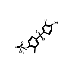 CCC(CC)(c1ccc(OS(=O)(=O)C(F)(F)F)c(C)c1)c1ccc(O)c(Cl)c1